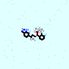 COC(=O)[C@H](CC[C@H](C)c1ccc2cn[nH]c2c1F)c1cccc(F)c1C